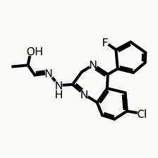 CC(O)C=NNC1=Nc2ccc(Cl)cc2C(c2ccccc2F)=NC1